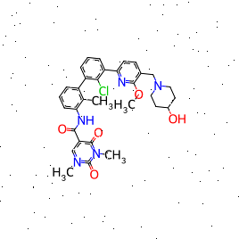 COc1nc(-c2cccc(-c3cccc(NC(=O)c4cn(C)c(=O)n(C)c4=O)c3C)c2Cl)ccc1CN1CCC(O)CC1